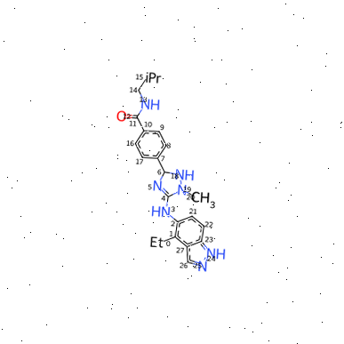 CCc1c(NC2=NC(c3ccc(C(=O)NCC(C)C)cc3)NN2C)ccc2[nH]ncc12